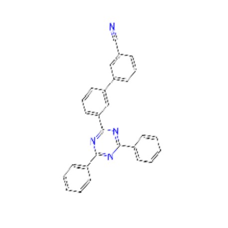 N#Cc1cccc(-c2cccc(-c3nc(-c4ccccc4)nc(-c4ccccc4)n3)c2)c1